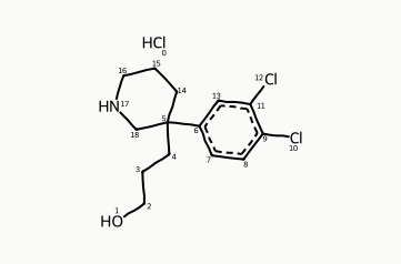 Cl.OCCCC1(c2ccc(Cl)c(Cl)c2)CCCNC1